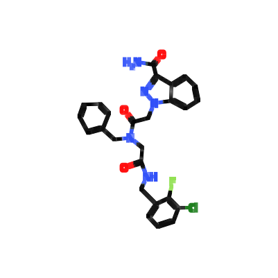 NC(=O)c1nn(CC(=O)N(CC(=O)NCc2cccc(Cl)c2F)Cc2ccccc2)c2ccccc12